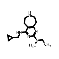 CCN(C)c1nc2c(c(NCC3CC3)n1)CCNCC2